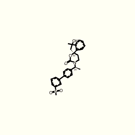 C[C@@H](c1ccc(-c2cccc(S(C)(=O)=O)c2)cc1)N1CC[C@](CC(C)(C)O)(c2ccccc2)OC1=O